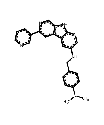 CN(C)c1ccc(CNc2cnc3[nH]c4cnc(-c5cccnc5)cc4c3c2)cc1